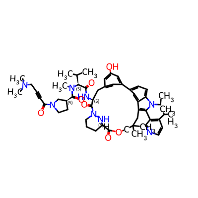 CCn1c(-c2cnccc2C(C)C)c2c3cc(ccc31)-c1cc(O)cc(c1)C[C@H](NC(=O)[C@H](C(C)C)N(C)C(=O)[C@H]1CCN(C(=O)C#CCN(C)C)C1)C(=O)N1CCC[C@H](N1)C(=O)OCC(C)(C)C2